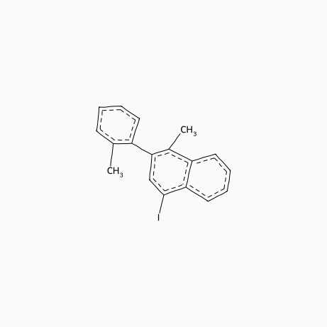 Cc1ccccc1-c1cc(I)c2ccccc2c1C